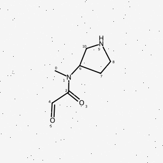 CN(C(=O)C=O)C1CCNC1